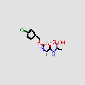 CC(NC(=O)[C@H](C)NC(=O)OCc1ccc(Cl)cc1)P(O)O